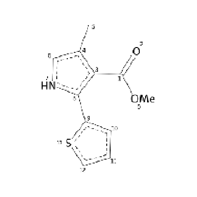 COC(=O)c1c(C)c[nH]c1-c1cccs1